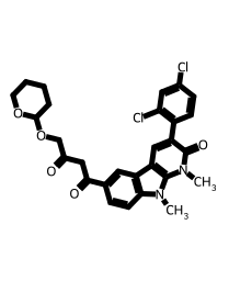 Cn1c(=O)c(-c2ccc(Cl)cc2Cl)cc2c3cc(C(=O)CC(=O)COC4CCCCO4)ccc3n(C)c21